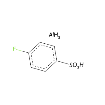 O=S(=O)(O)c1ccc(F)cc1.[AlH3]